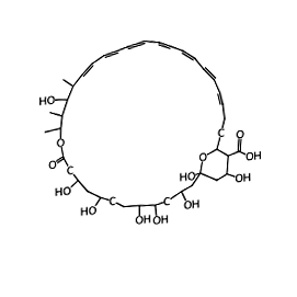 CC1C=CC=CC=CC=CC=CC=CC=CCCC2OC(O)(CC(O)CC(O)C(O)CCC(O)CC(O)CC(=O)OC(C)C(C)C1O)CC(O)C2C(=O)O